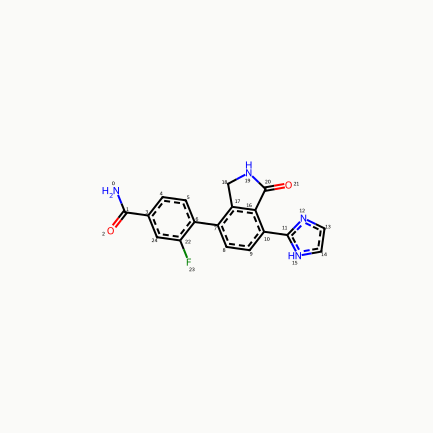 NC(=O)c1ccc(-c2ccc(-c3ncc[nH]3)c3c2CNC3=O)c(F)c1